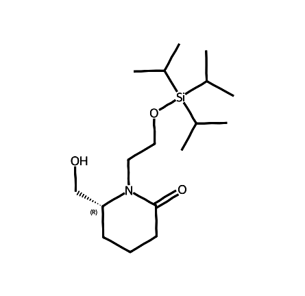 CC(C)[Si](OCCN1C(=O)CCC[C@@H]1CO)(C(C)C)C(C)C